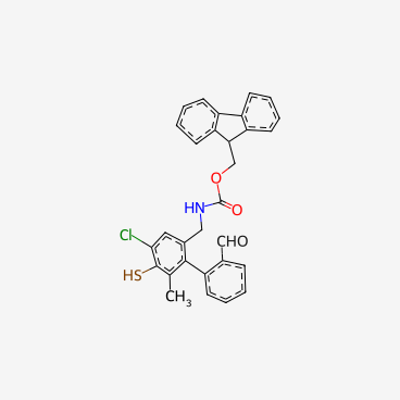 Cc1c(S)c(Cl)cc(CNC(=O)OCC2c3ccccc3-c3ccccc32)c1-c1ccccc1C=O